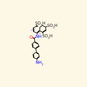 C=C(/C=C\C(NC(=O)c1ccc(-c2ccc(N)cc2)cc1)=C1/CCC(S(=O)(=O)O)C=C1S(=O)(=O)O)S(=O)(=O)O